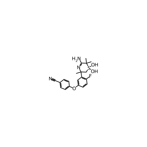 CC1(c2cc(Oc3ccc(C#N)cc3)ccc2F)CS(O)(O)C(C)(C)C(N)=N1